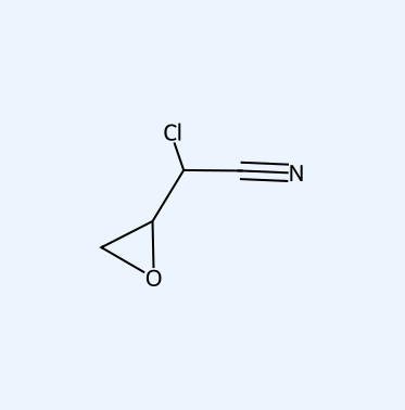 N#CC(Cl)C1CO1